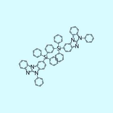 c1ccc(-n2c3ccccc3n3c4cc([Si](c5ccccc5)(c5ccccc5)c5cccc([Si](c6ccccc6)(c6ccccc6)c6ccc7c(c6)n6c8ccccc8nc6n7-c6ccccc6)c5)ccc4nc23)cc1